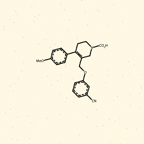 COc1ccc(C2=C(COc3cccc(C#N)c3)CN(C(=O)O)CC2)cc1